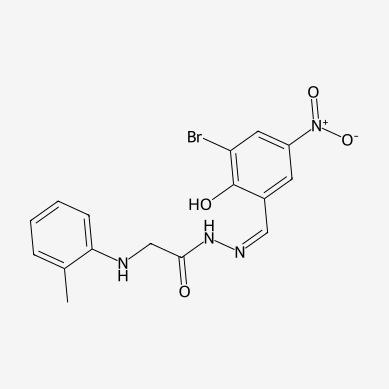 Cc1ccccc1NCC(=O)N/N=C\c1cc([N+](=O)[O-])cc(Br)c1O